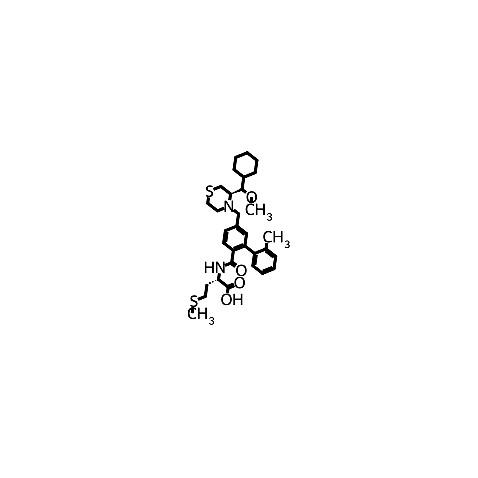 COC(C1CCCCC1)[C@@H]1CSCCN1Cc1ccc(C(=O)N[C@@H](CCSC)C(=O)O)c(-c2ccccc2C)c1